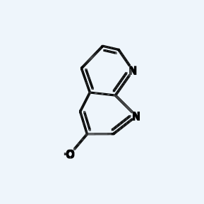 [O]c1cnc2ncccc2c1